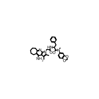 Cc1c(C)n(CC(=O)NC(Cc2ccccc2)C(=O)N(C)c2ccc3c(c2)OCO3)c2nc3c(c(N)c12)CCCCC3